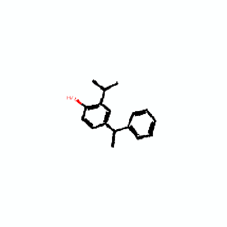 CC(C)c1cc(C(C)c2ccccc2)ccc1O